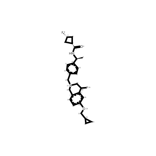 C[C@H](NC(=O)[C@H]1C[C@@H](F)C1)c1ccc(CN2Cc3ccc(OCC4CC4)cc3C(F)C2)cc1